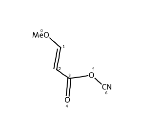 COC=CC(=O)OC#N